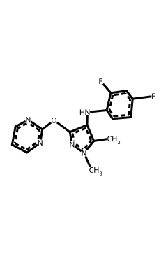 Cc1c(Nc2ccc(F)cc2F)c(Oc2ncccn2)nn1C